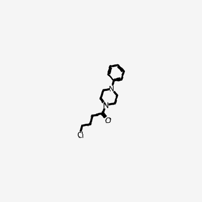 O=C(CCCCl)N1CCN(c2ccccc2)CC1